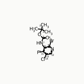 CC(C)(C)OC(=O)Nc1c(Br)ncc(Cl)c1F